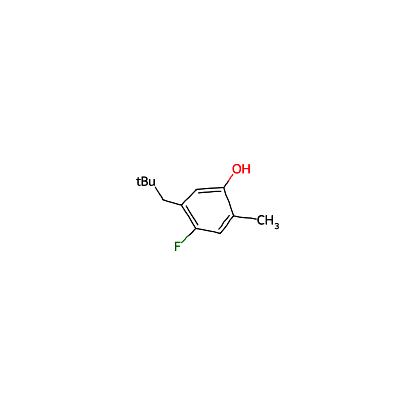 Cc1cc(F)c(CC(C)(C)C)cc1O